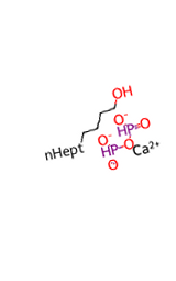 CCCCCCCCCCCO.O=[PH]([O-])O[PH](=O)[O-].[Ca+2]